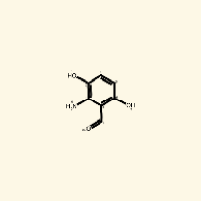 Nc1c(O)ccc(O)c1C=O